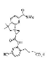 CNC(=O)c1ccc2c(c1)[C@@]1(C[C@H]1C(=O)Nc1cc(C#N)ccc1CCCC(=O)O)CC2(C)C